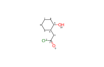 O=C(Cl)CC1CCCCC1O